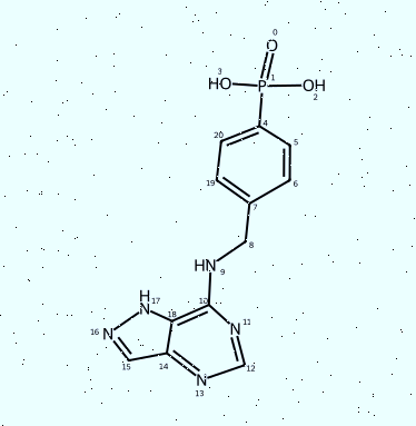 O=P(O)(O)c1ccc(CNc2ncnc3cn[nH]c23)cc1